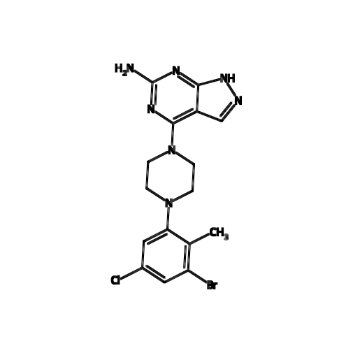 Cc1c(Br)cc(Cl)cc1N1CCN(c2nc(N)nc3[nH]ncc23)CC1